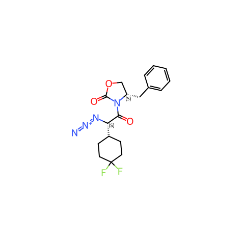 [N-]=[N+]=N[C@H](C(=O)N1C(=O)OC[C@@H]1Cc1ccccc1)C1CCC(F)(F)CC1